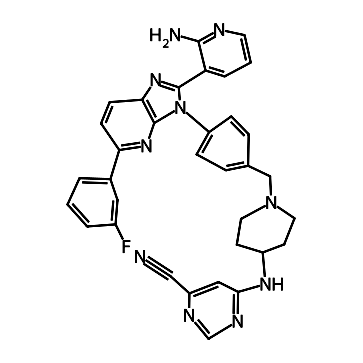 N#Cc1cc(NC2CCN(Cc3ccc(-n4c(-c5cccnc5N)nc5ccc(-c6cccc(F)c6)nc54)cc3)CC2)ncn1